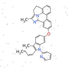 C=C/C=C\c1c(C)c2ccc(Oc3ccc4c(c3)c3nc(C)c5n3c3c(cccc43)CC5)cc2n1-c1ccccn1